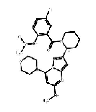 CNc1cc(N2CCOCC2)n2nc([C@@H]3CCCCN3C(=O)c3cc(Cl)ccc3N[S+](C)[O-])cc2n1